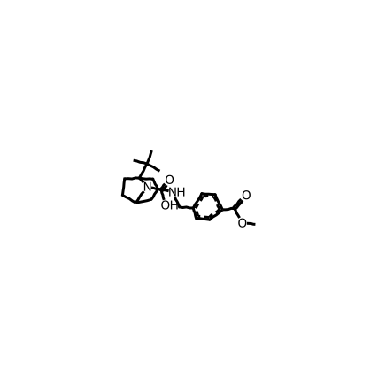 COC(=O)c1ccc(CNC2CC3CCC(C(C)(C)C)(C2)N3C(=O)O)cc1